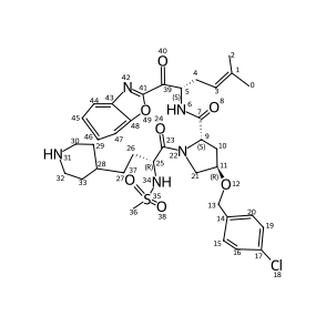 CC(C)=CC[C@H](NC(=O)[C@@H]1C[C@@H](OCc2ccc(Cl)cc2)CN1C(=O)[C@@H](CCC1CCNCC1)NS(C)(=O)=O)C(=O)c1nc2ccccc2o1